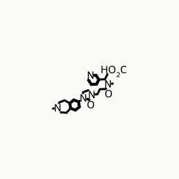 CN1CCc2ccc(N3CCN(CCC(=O)N(C)C(CC(=O)O)c4cccnc4)C3=O)cc2CC1